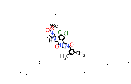 CC[C@H](C)OC(=O)N1C[C@@H]2CC1CN2CCC(=O)N1CCN(C(=O)c2cc(C)cc(C)c2)CC1c1ccc(Cl)c(Cl)c1